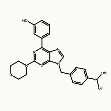 Oc1cccc(-c2nc(N3CCOCC3)nc3c2ncn3Cc2ccc(N(O)O)cc2)c1